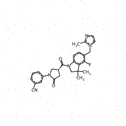 Cc1nccn1Cc1ccc2c(c1F)C(C)(C)CN2C(=O)[C@H]1CC(=O)N(c2cccc(C#N)c2)C1